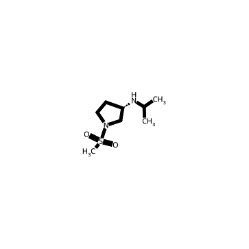 CC(C)N[C@H]1CCN(S(C)(=O)=O)C1